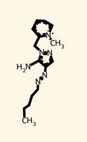 CCCCCN=Nc1cnn(Cc2cccc[n+]2C)c1N